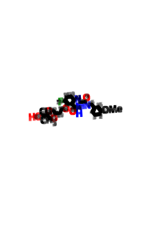 COc1cccc(CNC(=O)c2nc3ccc(F)c(OCCC4COC(C(C)(C)O)CO4)c3c(=O)[nH]2)c1